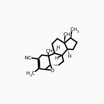 CC1=C(C#N)C[C@]2(C)[C@H]3CC[C@]4(C)[C@@H](C)CC[C@H]4[C@@H]3CC[C@@]23OC13